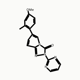 COc1ccc(-c2ccc3nn(-c4ncccn4)c(=O)n3c2)c(C)c1